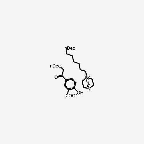 CCCCCCCCCCCC(=O)c1ccc(O)c(C(=O)[O-])c1.CCCCCCCCCCCCCCCC[N+]12CCN(CC1)CC2